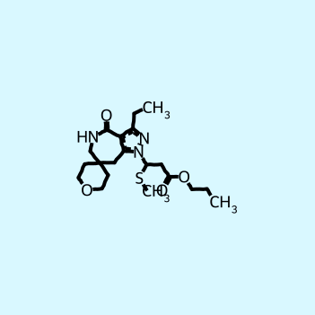 CCCOC(=O)CC(SC)n1nc(CC)c2c1CC1(CCOCC1)CNC2=O